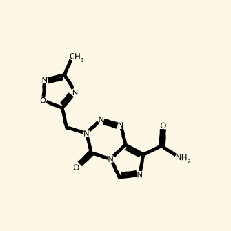 Cc1noc(Cn2nnc3c(C(N)=O)ncn3c2=O)n1